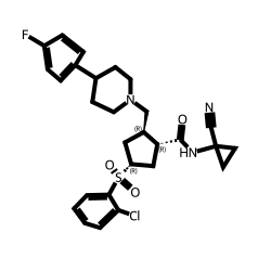 N#CC1(NC(=O)[C@@H]2C[C@H](S(=O)(=O)c3ccccc3Cl)C[C@H]2CN2CCC(c3ccc(F)cc3)CC2)CC1